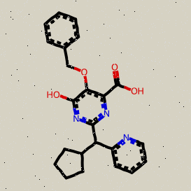 O=C(O)c1nc(C(c2ccccn2)C2CCCC2)nc(O)c1OCc1ccccc1